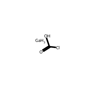 O=C(O)Cl.[GaH3]